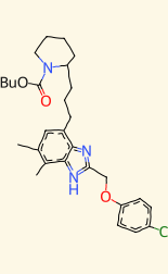 Cc1cc(CCCC2CCCCN2C(=O)OCC(C)C)c2nc(COc3ccc(Cl)cc3)[nH]c2c1C